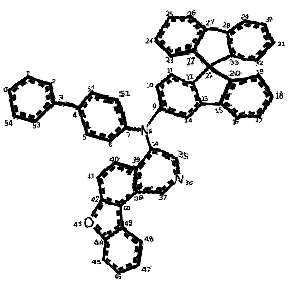 c1ccc(-c2ccc(N(c3ccc4c(c3)-c3ccccc3C43c4ccccc4-c4ccccc43)c3cncc4c3ccc3oc5ccccc5c34)cc2)cc1